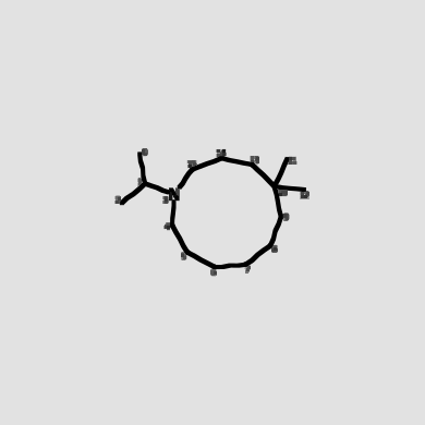 CC(C)N1CCCCCCC(C)(C)CCC1